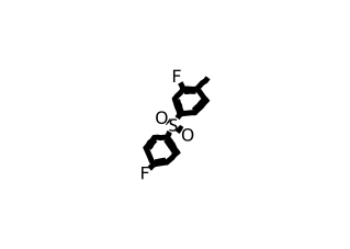 Cc1ccc(S(=O)(=O)c2ccc(F)cc2)cc1F